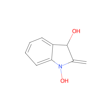 C=C1C(O)c2ccccc2N1O